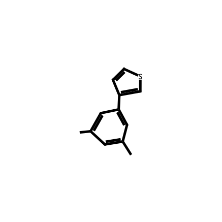 Cc1cc(C)cc(-c2c[c]sc2)c1